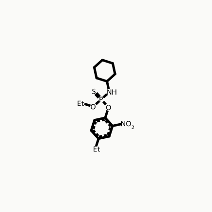 CCOP(=S)(NC1CCCCC1)Oc1ccc(CC)cc1[N+](=O)[O-]